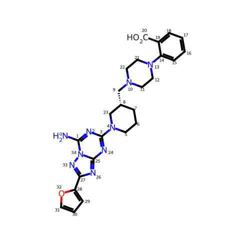 Nc1nc(N2CCC[C@@H](CN3CCN(c4ccccc4C(=O)O)CC3)C2)nc2nc(-c3ccco3)nn12